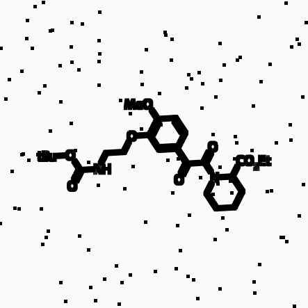 CCOC(=O)C1CCCCN1C(=O)C(=O)c1ccc(OC)c(OCCNC(=O)OC(C)(C)C)c1